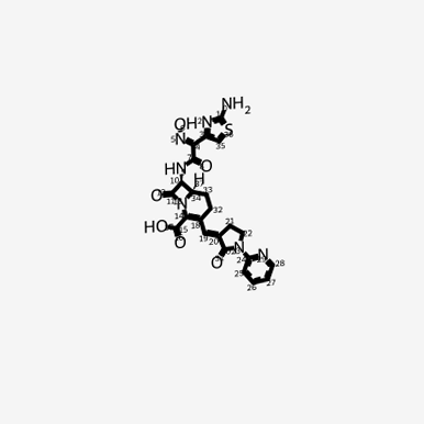 Nc1nc(C(=NO)C(=O)N[C@@H]2C(=O)N3C(C(=O)O)=C(C=C4CCN(c5ccccn5)C4=O)CC[C@H]23)cs1